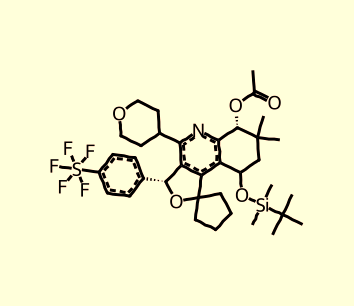 CC(=O)O[C@H]1c2nc(C3CCOCC3)c3c(c2C(O[Si](C)(C)C(C)(C)C)CC1(C)C)C1(CCCC1)O[C@@H]3c1ccc(S(F)(F)(F)(F)F)cc1